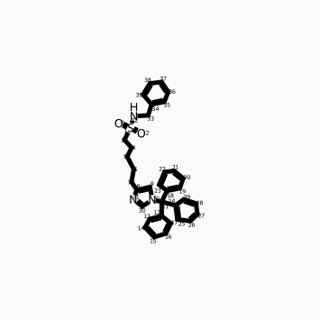 O=S(=O)(CCCCCc1cn(C(c2ccccc2)(c2ccccc2)c2ccccc2)cn1)NCc1ccccc1